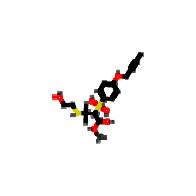 CC#CCOc1ccc(S(=O)(=O)[C@@H](C(=O)OC(C)(C)C)C(C)(C)SCCO)cc1